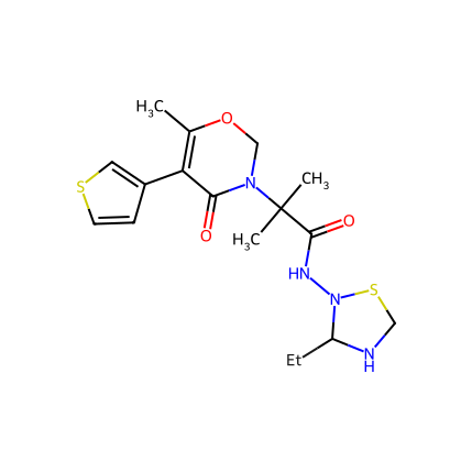 CCC1NCSN1NC(=O)C(C)(C)N1COC(C)=C(c2ccsc2)C1=O